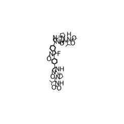 COC(=O)NC(C(=O)N1CCC[C@H]1c1ncc(-c2ccc3c(c2)OCn2c-3c(F)c3cc(-c4cnc([C@@H]5CCCN5C(=O)[C@@H](NC(=O)OC)C(C)C)[nH]4)ccc32)[nH]1)C(C)C